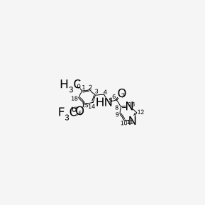 Cc1cc(CNC(=O)c2ccncn2)cc(OC(F)(F)F)c1